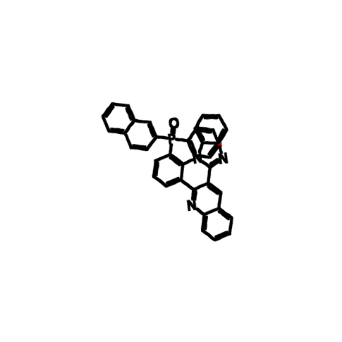 O=P(c1ccccc1)(c1ccc2ccccc2c1)c1cccc2c3nc4ccccc4cc3c3nc4ccccc4n3c12